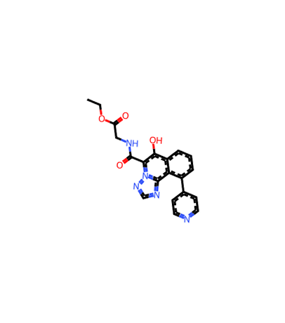 CCOC(=O)CNC(=O)c1c(O)c2cccc(-c3ccncc3)c2c2ncnn12